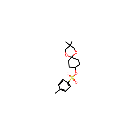 Cc1ccc(S(=O)(=O)OC2CCC3(CC2)OCC(C)(C)CO3)cc1